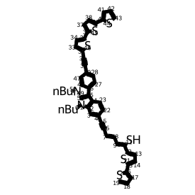 CCCCn1c2cc(C#C/C=C/C=C(\S)c3ccc(-c4cccs4)s3)ccc2c2c3ccc(C#Cc4ccc(-c5ccc(-c6cccs6)s5)s4)cc3n(CCCC)c21